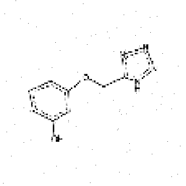 Oc1[c]ccc(OCc2nnn[nH]2)c1